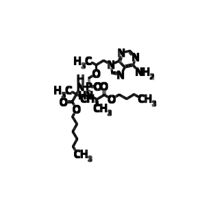 CCCCCCOC(=O)C(C)(C)NP(=O)(COC(C)Cn1cnc2c(N)ncnc21)NC(C)C(=O)OCCCC